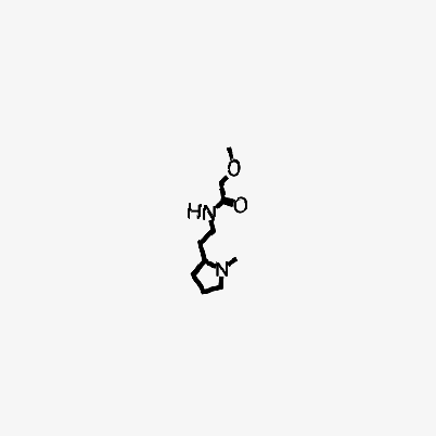 COCC(=O)NCCC1CCCN1C